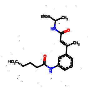 CCCCCCCCCC(C)NC(=O)C=C(C)c1cccc(NC(=O)CCCC(=O)O)c1